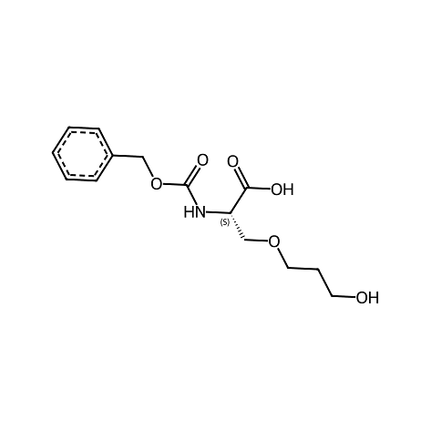 O=C(N[C@@H](COCCCO)C(=O)O)OCc1ccccc1